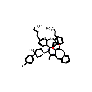 CCOC(=O)CCOc1ccc2c(n1)Oc1ccccc1C/C2=C(C)/C(=C1\Cc2ccccc2Oc2nc(OCCC(=O)OCC)ccc21)N1CCC(O)(c2ccc(Cl)cc2)CC1